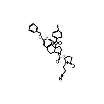 N#CCCN1C(=O)CC[C@H]1C(=O)N1CCC2(S(=O)(=O)c3ccc(F)cc3)c3cnc(OCc4ccccc4)cc3CCC12